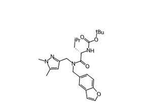 Cc1cc(CN(Cc2ccc3occc3c2)C(=O)[C@H](CC(C)C)NC(=O)OC(C)(C)C)nn1C